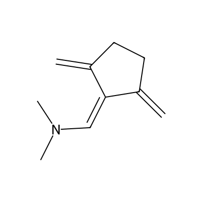 C=C1CCC(=C)C1=CN(C)C